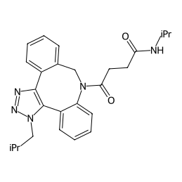 CC(C)Cn1nnc2c1-c1ccccc1N(C(=O)CCC(=O)NC(C)C)Cc1ccccc1-2